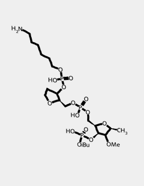 COC1[C@H](C)O[C@H](COP(=O)(O)OC[C@H]2OCCC2OP(=O)(O)OCCCCCCN)[C@@H]1OP(=O)(O)OCC(C)C